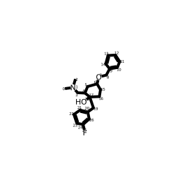 CN(C)CC1CC(OCc2ccccc2)CCC1(O)Cc1cccc(F)c1